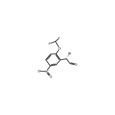 O=C[C@@H](Br)c1cc([N+](=O)[O-])ccc1OC(F)F